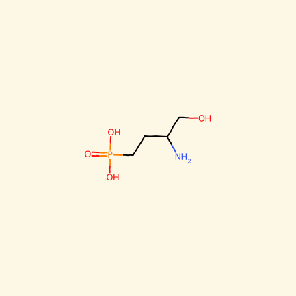 NC(CO)CCP(=O)(O)O